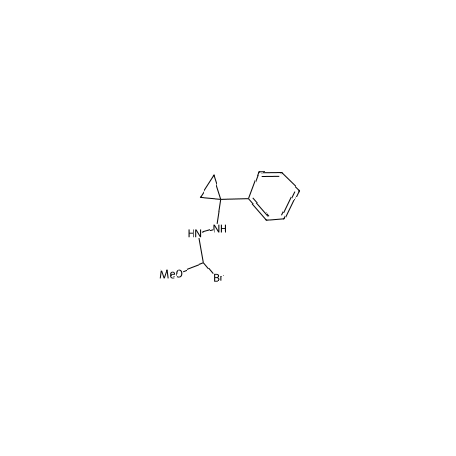 COC(Br)NNC1(c2ccccc2)CC1